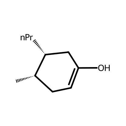 CCC[C@@H]1CC(O)=CC[C@@H]1C